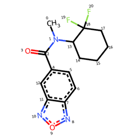 CN(C(=O)c1ccc2nonc2c1)C1CCCCC1(F)F